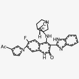 CC(=O)c1ccn(-c2cc3[nH]c(=O)c(-c4nc5ccccc5[nH]4)c(N[C@H]4CN5CCC4CC5)c3cc2F)c1